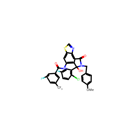 COc1ccc(CN2C(=O)c3c(c(NC(=O)c4cc(F)cc(C(F)(F)F)c4)cc4scnc34)C2(O)c2cc(F)ccc2Cl)cc1